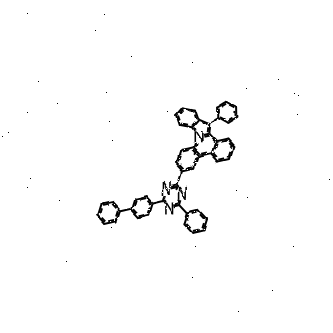 c1ccc(-c2ccc(-c3nc(-c4ccccc4)nc(-c4ccc5c(c4)c4ccccc4c4c(-c6ccccc6)c6ccccc6n54)n3)cc2)cc1